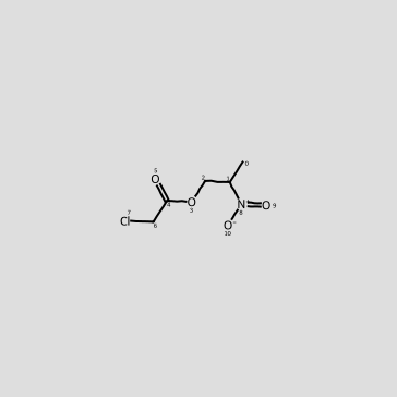 CC(COC(=O)CCl)[N+](=O)[O-]